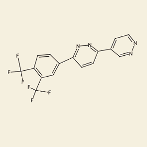 FC(F)(F)c1ccc(-c2ccc(-c3[c]nncc3)nn2)cc1C(F)(F)F